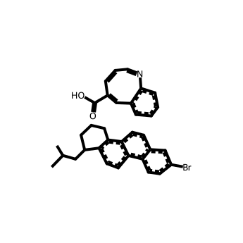 CC(C)CC1CCCc2c1ccc1c2ccc2cc(Br)ccc21.O=C(O)C1=Cc2ccccc2N=CC=C1